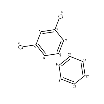 Clc1c[c]cc(Cl)c1.c1ccccc1